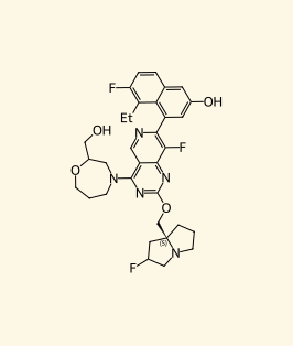 CCc1c(F)ccc2cc(O)cc(-c3ncc4c(N5CCCOC(CO)C5)nc(OC[C@@]56CCCN5CC(F)C6)nc4c3F)c12